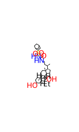 CC[C@H]1[C@@H](O)[C@@H]2[C@H](CC[C@]3(C)[C@@H]([C@H](C)CCNC(=O)NS(=O)(=O)C4CC5CCC4C5)CC[C@@H]23)[C@@]2(C)CC[C@@H](O)C[C@@H]12